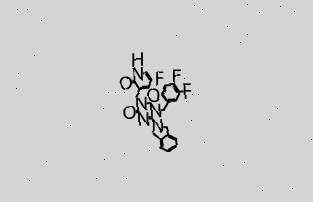 O=c1[nH]cccc1Cn1c(=O)nc(N2Cc3ccccc3C2)n(Cc2cc(F)c(F)c(F)c2)c1=O